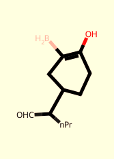 BC1=C(O)CCC(C(C=O)CCC)C1